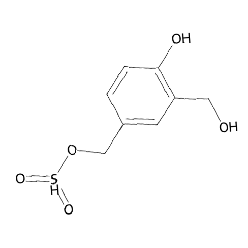 O=[SH](=O)OCc1ccc(O)c(CO)c1